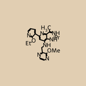 CCOc1ncccc1-c1cc(NCc2nccnc2OC)c(NC(C)C)c(C(C)=N)n1